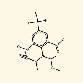 COC(C)N(c1c([N+](=O)[O-])cc(C(F)(F)F)cc1[N+](=O)[O-])C(C)C#N